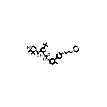 C=C1NCCN(C(=O)c2cc(C(C)(C)C)sc2NC(=O)Nc2ccc(C)c(-c3ccc(OCCCN4CCOCC4)nc3)c2)C1(C)C